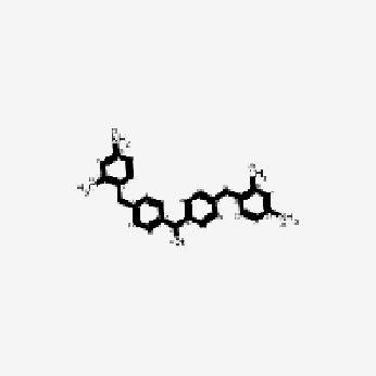 CCC(c1ccc(Cc2ccc(N)cc2C)cc1)c1ccc(Cc2ccc(N)cc2C)cc1